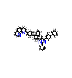 C1=CCC(c2nc(C3=CCC(C4=CCCC=C4)C=C3)cc(-c3ccc(-c4ccc(-c5ccc6ccc7cccnc7c6n5)cc4)c4ccccc34)n2)C=C1